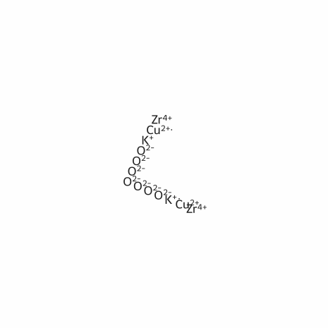 [Cu+2].[Cu+2].[K+].[K+].[O-2].[O-2].[O-2].[O-2].[O-2].[O-2].[O-2].[Zr+4].[Zr+4]